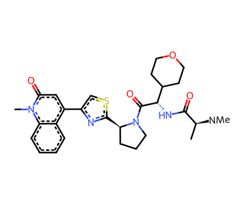 CN[C@@H](C)C(=O)N[C@H](C(=O)N1CCC[C@H]1c1nc(-c2cc(=O)n(C)c3ccccc23)cs1)C1CCOCC1